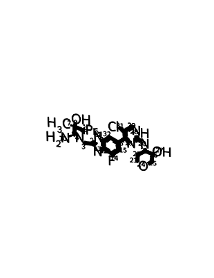 CC(C)n1c(CN2C[C@@](C)(O)[C@@H]2N)nc2c(F)cc(-c3nc(N[C@@H]4CCOC[C@H]4O)ncc3Cl)cc21